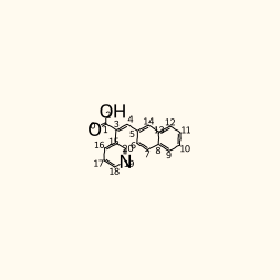 O=C(O)/C(=C/c1ccc2ccccc2c1)c1cccnc1